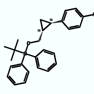 CC(C)(C)[Si](OC[C@@H]1C[C@@H]1c1ccc(F)cc1)(c1ccccc1)c1ccccc1